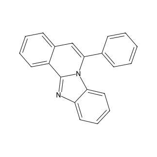 c1ccc(-c2cc3ccccc3c3nc4ccccc4n23)cc1